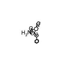 NOC(=O)C1CC(N2CCCC2)CCC1C(=O)N1CCC(c2ccccc2)C1